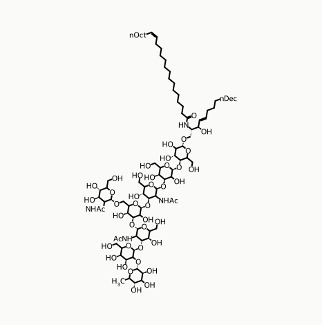 CCCCCCCC/C=C\CCCCCCCCCCCCCC(=O)N[C@@H](CO[C@@H]1OC(CO)[C@@H](O[C@@H]2OC(CO)[C@H](O)[C@H](O[C@@H]3OC(CO)[C@@H](O)[C@H](O[C@@H]4OC(CO[C@@H]5OC(CO)[C@@H](O)[C@H](O)C5NC(C)=O)[C@H](O)[C@H](O[C@@H]5OC(CO)[C@@H](O)[C@H](O[C@@H]6OC(CO)[C@H](O)[C@H](O)C6O[C@H]6OC(C)[C@@H](O)C(O)[C@@H]6O)C5NC(C)=O)C4O)C3NC(C)=O)C2O)[C@H](O)C1O)[C@H](O)/C=C/CCCCCCCCCCCCC